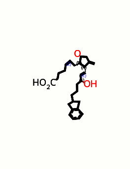 C=C1CC(=O)[C@H](C/C=C\CCCC(=O)O)[C@H]1/C=C/[C@@H](O)CCCC1Cc2ccccc2C1